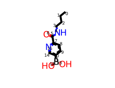 CCCCNC(=O)c1ccc(B(O)O)cn1